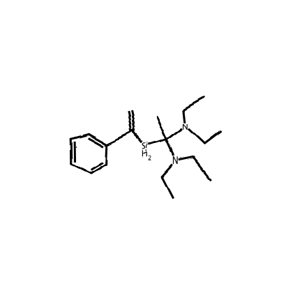 C=C([SiH2]C(C)(N(CC)CC)N(CC)CC)c1ccccc1